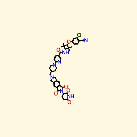 CC1(C)[C@H](NC(=O)c2ccc(N3CCC(CN4Cc5cc6c(cc5C4)C(=O)N(C4CCC(=O)NC4=O)C6=O)CC3)nc2)C(C)(C)[C@H]1Oc1ccc(C#N)c(Cl)c1